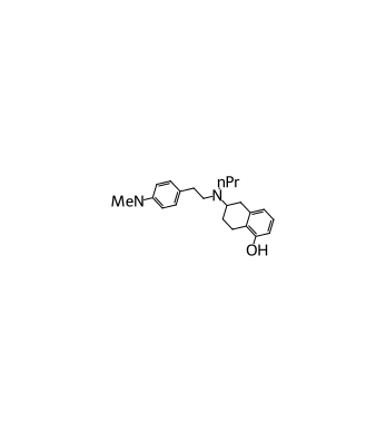 CCCN(CCc1ccc(NC)cc1)C1CCc2c(O)cccc2C1